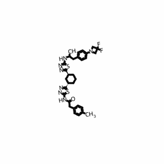 Cc1ccc(CC(=O)Nc2nnc([C@H]3CCC[C@H](c4nnc(NC(C)Cc5ccc(N6CC(F)(F)C6)cc5)s4)C3)s2)cc1